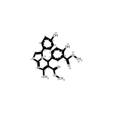 COC(=O)C1=C(C)N=C2SC=C(c3ccc(O)cc3)N2C1c1ccc(O)c(C(=O)OC)c1